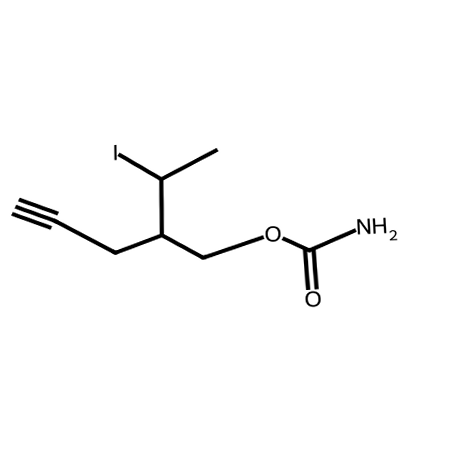 C#CCC(COC(N)=O)C(C)I